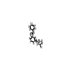 CC(C)CNc1cccc(OCc2ccccc2)c1